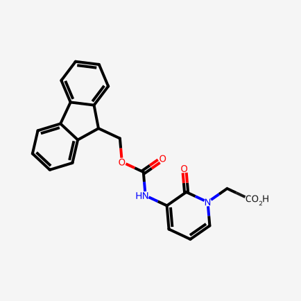 O=C(O)Cn1cccc(NC(=O)OCC2c3ccccc3-c3ccccc32)c1=O